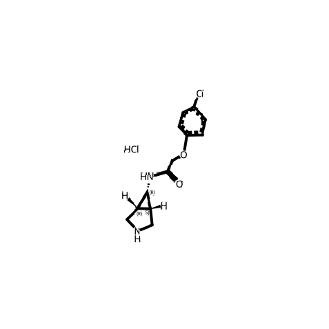 Cl.O=C(COc1ccc(Cl)cc1)N[C@@H]1[C@@H]2CNC[C@@H]21